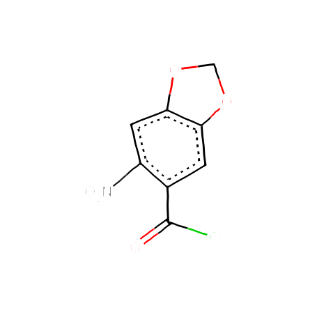 O=C(Cl)c1cc2c(cc1[N+](=O)[O-])OCO2